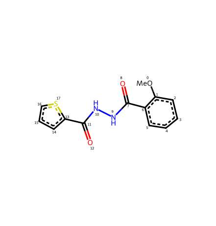 COc1ccccc1C(=O)NNC(=O)c1cccs1